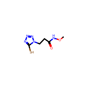 CONC(=O)CCn1nnnc1S